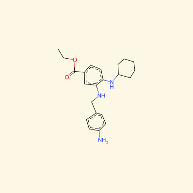 CCOC(=O)c1ccc(NC2CCCCC2)c(NCc2ccc(N)cc2)c1